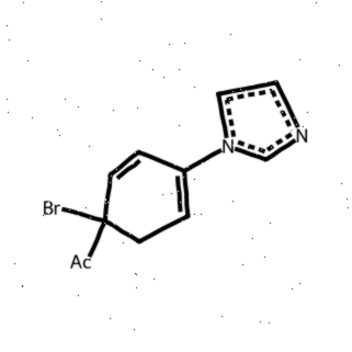 CC(=O)C1(Br)C=CC(n2ccnc2)=CC1